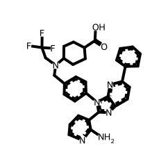 Nc1ncccc1-c1nc2ccc(-c3ccccc3)nc2n1-c1ccc(CN(CC(F)(F)F)C2CCC(C(=O)O)CC2)cc1